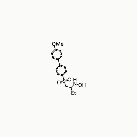 CCC(CS(=O)(=O)c1ccc(-c2ccc(OC)cc2)cc1)NO